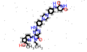 C=CCn1c(=O)c2cnc(Nc3ccc(N4CCN(c5ccc(NC6CCC(=O)NC6=O)cc5)CC4)cc3)nc2n1-c1ccc2c(n1)[C@@](O)(CC)CC2